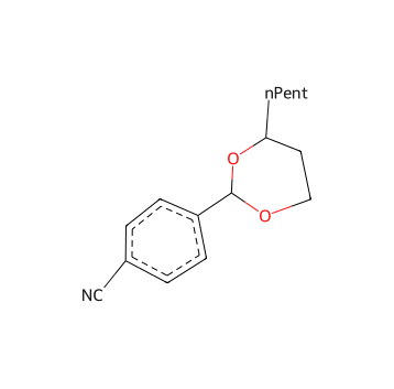 CCCCCC1CCOC(c2ccc(C#N)cc2)O1